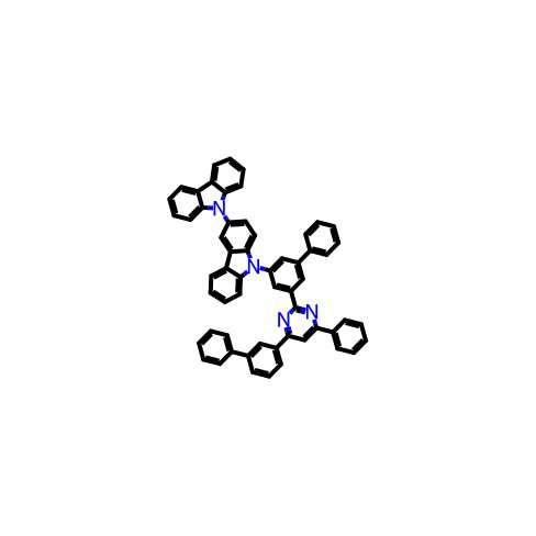 c1ccc(-c2cccc(-c3cc(-c4ccccc4)nc(-c4cc(-c5ccccc5)cc(-n5c6ccccc6c6cc(-n7c8ccccc8c8ccccc87)ccc65)c4)n3)c2)cc1